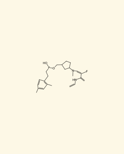 C=CNC(=C)/C(F)=C\N(C)C1CCC(COP(O)CCc2ccc(C)cc2C)C1